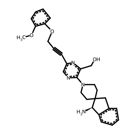 COc1ccccc1OCC#Cc1cnc(N2CCC3(CC2)Cc2ccccc2[C@H]3N)c(CO)n1